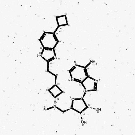 CC(C)N(C[C@H]1O[C@@H](n2cnc3c(N)ncnc32)[C@H](O)[C@@H]1O)[C@H]1C[C@H](CCc2nc3cc(C4CCC4)ccc3[nH]2)C1